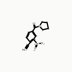 C#Cc1ccc(C(=O)N2CCCC2)cc1[N+](=O)[O-]